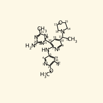 COc1ncc(Nc2ncc(C(C)N3CCOCC3)cc2-c2nc(C)nc(N)n2)cc1F